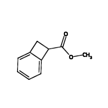 COC(=O)C1Cc2ccccc21